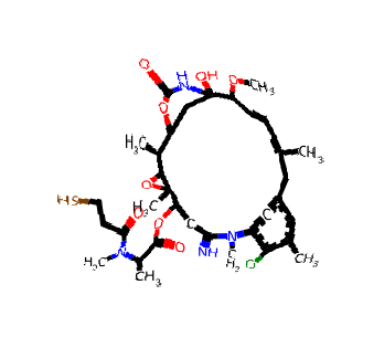 COC1/C=C/C=C(\C)Cc2cc(C)c(Cl)c(c2)N(C)C(=N)CC(OC(=O)C(C)N(C)C(=O)CCS)C2(C)OC2C(C)C2CC1(O)NC(=O)O2